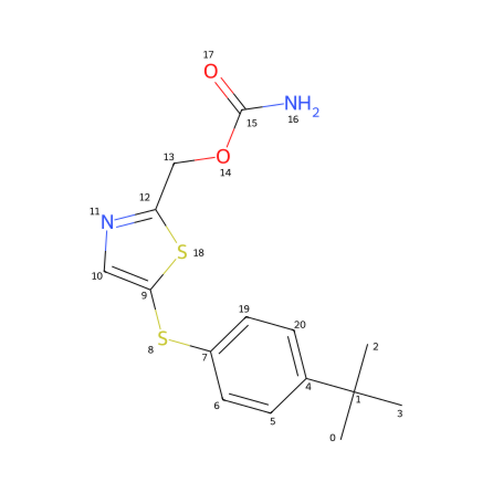 CC(C)(C)c1ccc(Sc2cnc(COC(N)=O)s2)cc1